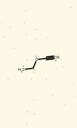 C#COC[CH2]